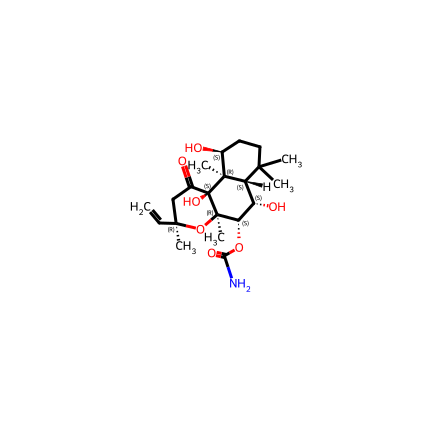 C=C[C@@]1(C)CC(=O)[C@]2(O)[C@@]3(C)[C@@H](O)CCC(C)(C)[C@@H]3[C@H](O)[C@H](OC(N)=O)[C@@]2(C)O1